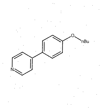 CCCCOc1ccc(-c2ccncc2)cc1